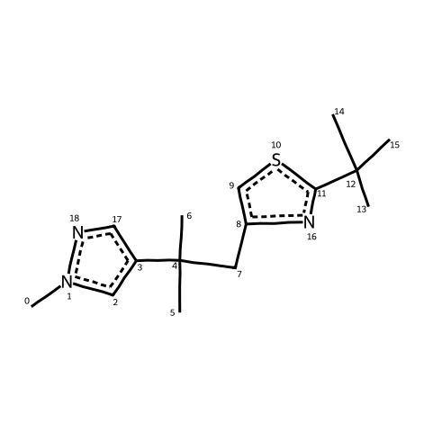 Cn1cc(C(C)(C)Cc2csc(C(C)(C)C)n2)cn1